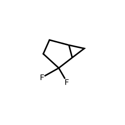 FC1(F)CCC2CC21